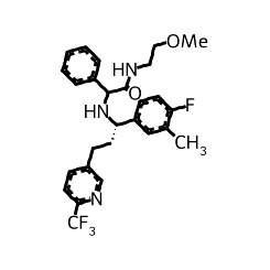 COCCNC(=O)C(N[C@@H](CCc1ccc(C(F)(F)F)nc1)c1ccc(F)c(C)c1)c1ccccc1